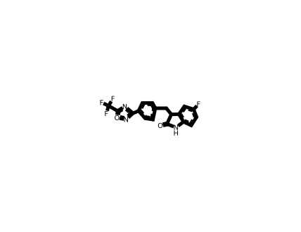 O=C1Nc2ccc(F)cc2C1Cc1ccc(-c2noc(C(F)(F)F)n2)cc1